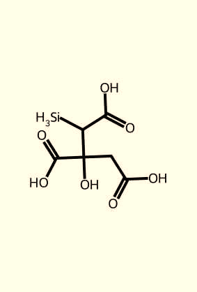 O=C(O)CC(O)(C(=O)O)C([SiH3])C(=O)O